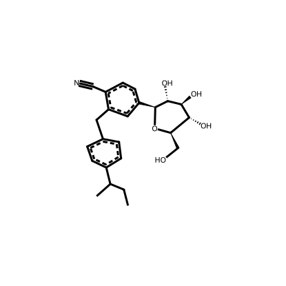 CCC(C)c1ccc(Cc2cc([C@@H]3O[C@H](CO)[C@@H](O)[C@H](O)[C@H]3O)ccc2C#N)cc1